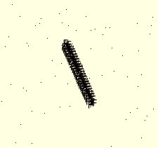 F[C](F)C(F)(F)C(F)(F)C(F)(F)C(F)(F)C(F)(F)C(F)(F)C(F)(F)C(F)(F)C(F)(F)C(F)(F)C(F)(F)C(F)(F)C(F)(F)C(F)(F)C(F)(F)C(F)(F)C(F)(F)C(F)(F)C(F)(F)C(F)(F)C(F)(F)C(F)(F)C(F)(F)F